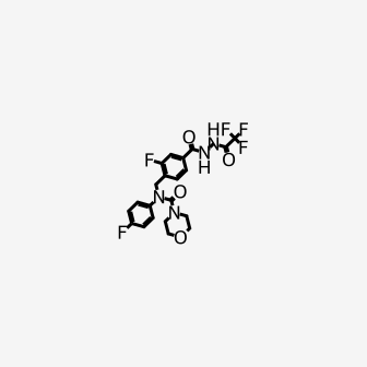 O=C(NNC(=O)C(F)(F)F)c1ccc(CN(C(=O)N2CCOCC2)c2ccc(F)cc2)c(F)c1